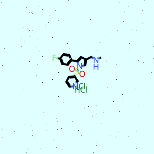 CNCc1cc(-c2ccc(F)cc2)n(S(=O)(=O)c2cccnc2)c1.Cl.Cl